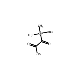 CCCC[Si](C)(C)C(=O)C(=O)CCC